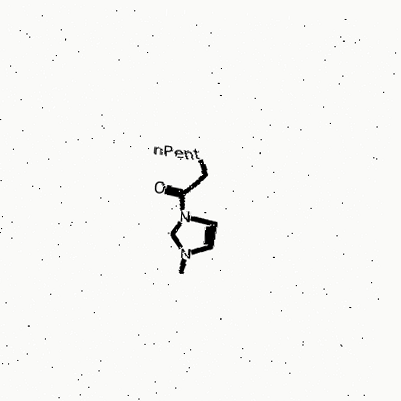 CCCCCCC(=O)N1[CH]N(C)C=C1